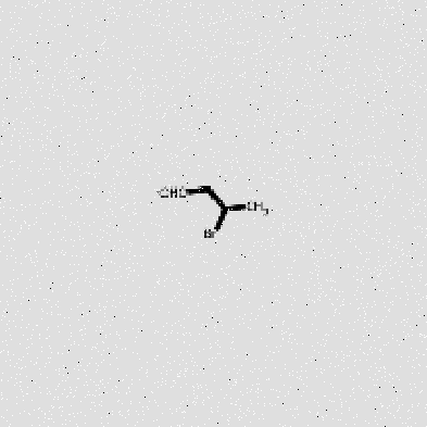 CC(Br)C[C]=O